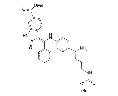 COC(=O)c1ccc2c(c1)NC(=O)C2=C(Nc1ccc(C(N)CCCNC(=O)OC(C)(C)C)cc1)c1ccccc1